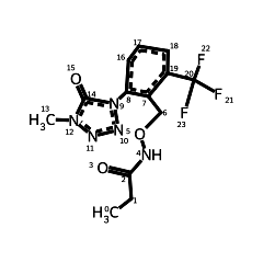 CCC(=O)NOCc1c(-n2nnn(C)c2=O)cccc1C(F)(F)F